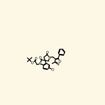 Cc1noc(-c2ccccc2)c1CN1CC2(CC1=O)C(=O)N(CC(=O)OC(C)(C)C)c1ccc(Cl)cc12